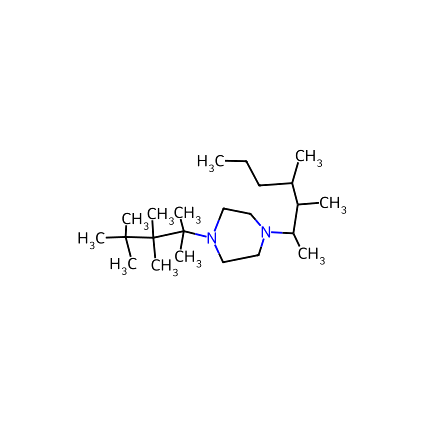 CCCC(C)C(C)C(C)N1CCN(C(C)(C)C(C)(C)C(C)(C)C)CC1